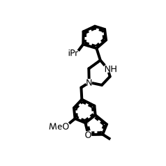 COc1cc(CN2CCNC(c3ccccc3C(C)C)C2)cc2cc(C)oc12